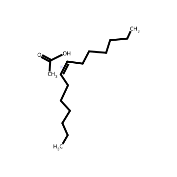 CC(=O)O.CCCCCC/C=C\CCCCCC